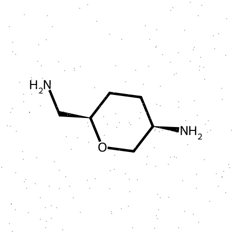 NC[C@H]1CC[C@@H](N)CO1